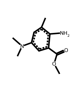 COC(=O)c1cc(N(C)C)cc(C)c1N